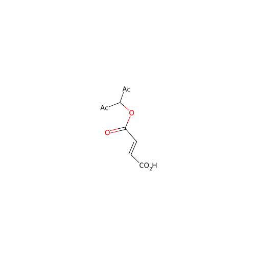 CC(=O)C(OC(=O)C=CC(=O)O)C(C)=O